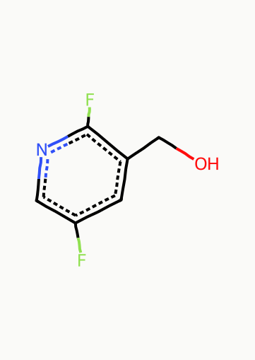 OCc1cc(F)cnc1F